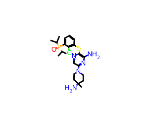 CC(C)P(=O)(c1cccc(Sc2ncc(N3CCC(C)(N)CC3)nc2N)c1Cl)C(C)C